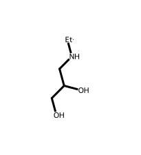 C[CH]NCC(O)CO